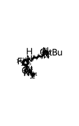 CC(C)(C)c1noc(CCCCCNc2cc(F)cc(-c3nc(C4CC4)no3)c2)n1